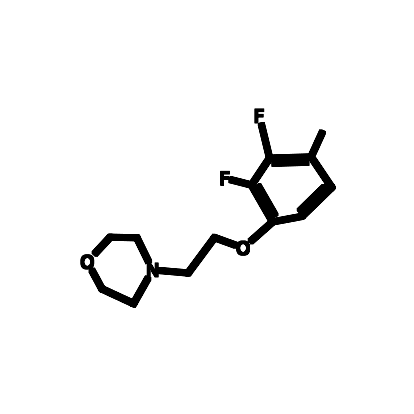 Cc1ccc(OCCN2CCOCC2)c(F)c1F